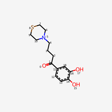 O=C(CCCN1CCSCC1)c1ccc(O)c(O)c1